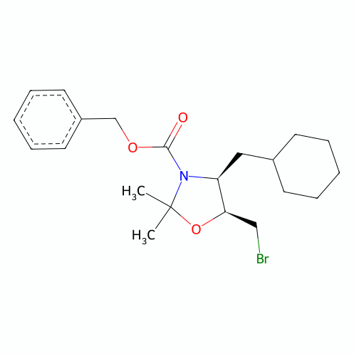 CC1(C)O[C@H](CBr)[C@H](CC2CCCCC2)N1C(=O)OCc1ccccc1